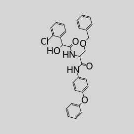 O=C(Nc1ccc(Oc2ccccc2)cc1)C(COCc1ccccc1)NC(=O)C(O)c1ccccc1Cl